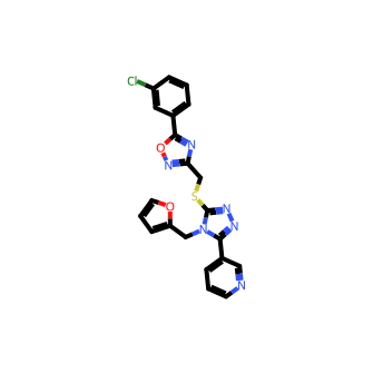 Clc1cccc(-c2nc(CSc3nnc(-c4cccnc4)n3Cc3ccco3)no2)c1